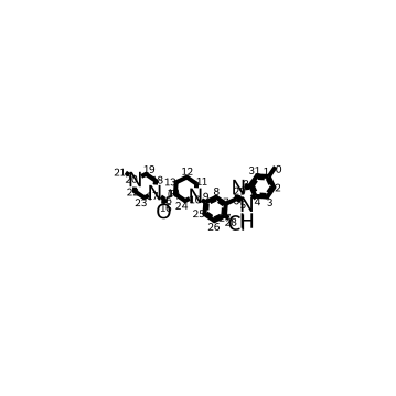 Cc1ccc2[nH]c(-c3cc(N4CCC[C@@H](C(=O)N5CCN(C)CC5)C4)ccc3Cl)nc2c1